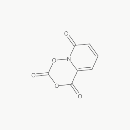 O=c1oc(=O)c2cccc(=O)n2o1